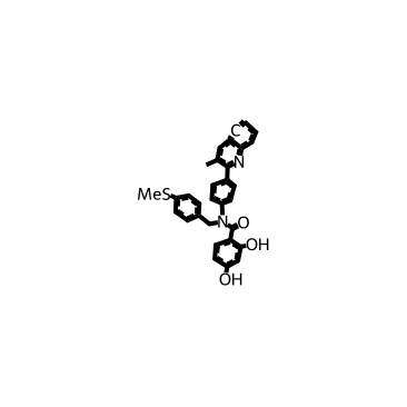 CSc1ccc(CN(C(=O)c2ccc(O)cc2O)c2ccc(-c3nc4ccccc4cc3C)cc2)cc1